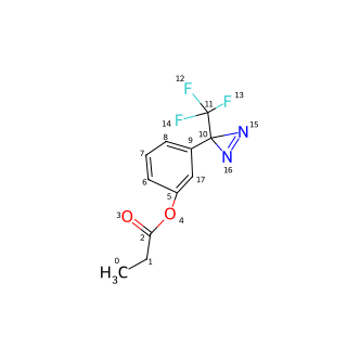 CCC(=O)Oc1cccc(C2(C(F)(F)F)N=N2)c1